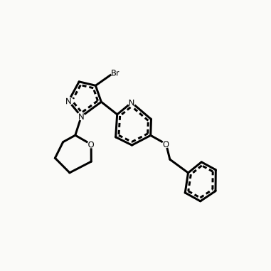 Brc1cnn(C2CCCCO2)c1-c1ccc(OCc2ccccc2)cn1